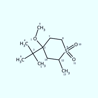 COC1(C(C)(C)C)CCS(=O)(=O)C(C)C1